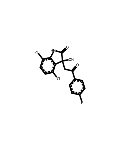 O=C(CC1(O)C(=O)Nc2c(Cl)ccc(Cl)c21)c1ccc(F)cc1